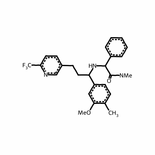 CNC(=O)C(NC(CCc1ccc(C(F)(F)F)nc1)c1ccc(C)c(OC)c1)c1ccccc1